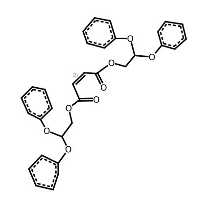 O=C(/C=C\C(=O)OCC(Oc1ccccc1)Oc1ccccc1)OCC(Oc1ccccc1)Oc1ccccc1